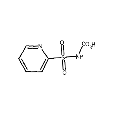 O=C(O)NS(=O)(=O)c1ccccn1